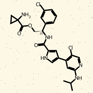 CC(C)Nc1cc(-c2c[nH]c(C(=O)N[C@H](COC(=O)C3(N)CC3)c3cccc(Cl)c3)c2)c(Cl)cn1